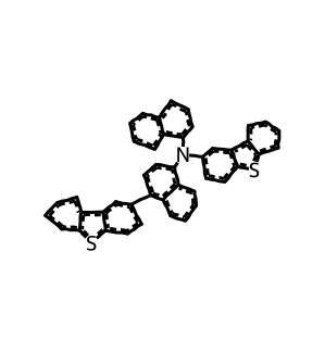 c1ccc2c(N(c3ccc4sc5ccccc5c4c3)c3ccc(-c4ccc5sc6ccccc6c5c4)c4ccccc34)cccc2c1